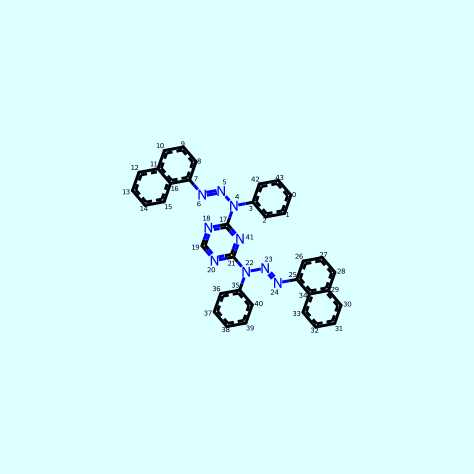 c1ccc(N(N=Nc2cccc3ccccc23)c2ncnc(N(N=Nc3cccc4ccccc34)c3ccccc3)n2)cc1